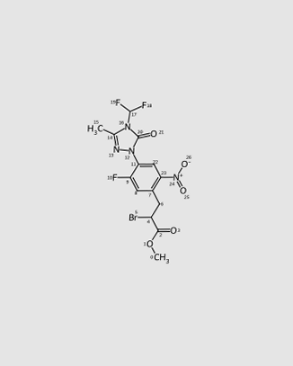 COC(=O)C(Br)Cc1cc(F)c(-n2nc(C)n(C(F)F)c2=O)cc1[N+](=O)[O-]